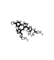 COCc1nnn2c1Cc1c(C3=N[C@H](CC(C)C)CO3)ncn1-c1ccc(Cl)cc1-2